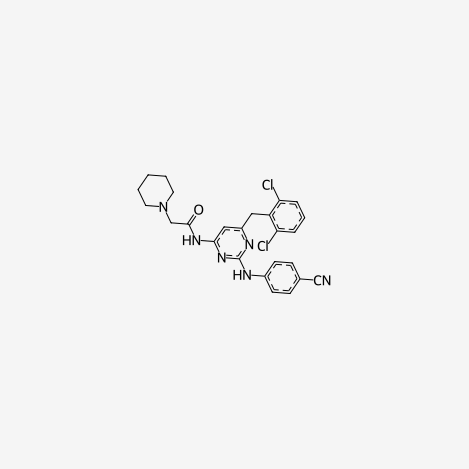 N#Cc1ccc(Nc2nc(Cc3c(Cl)cccc3Cl)cc(NC(=O)CN3CCCCC3)n2)cc1